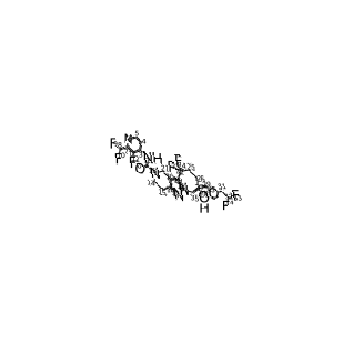 O=C(Nc1ccnc(C(F)F)c1F)N1CCc2nn3c(c2C1)C(F)(F)CC[C@](O)(COCC(F)F)C3